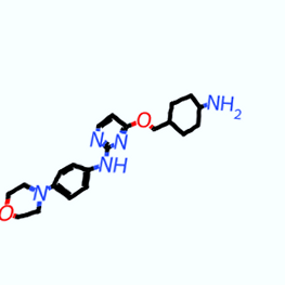 NC1CCC(COc2ccnc(Nc3ccc(N4CCOCC4)cc3)n2)CC1